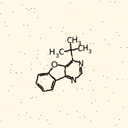 CC(C)(C)c1ncnc2c1oc1ccccc12